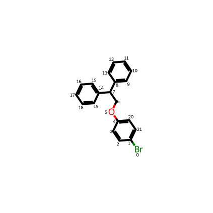 Brc1ccc(OCC(c2ccccc2)c2ccccc2)cc1